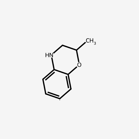 CC1CNc2cc[c]cc2O1